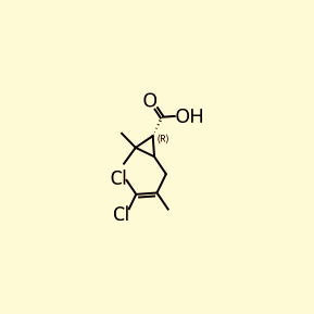 CC(CC1[C@@H](C(=O)O)C1(C)C)=C(Cl)Cl